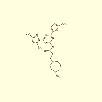 Cc1cc(C)n(-c2cc(NC(=O)CCN3CCCN(C)CC3)nc(-c3ccc(C)o3)n2)n1